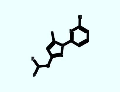 Cc1cc(OC(F)F)nn1-c1[c]ccc(Cl)n1